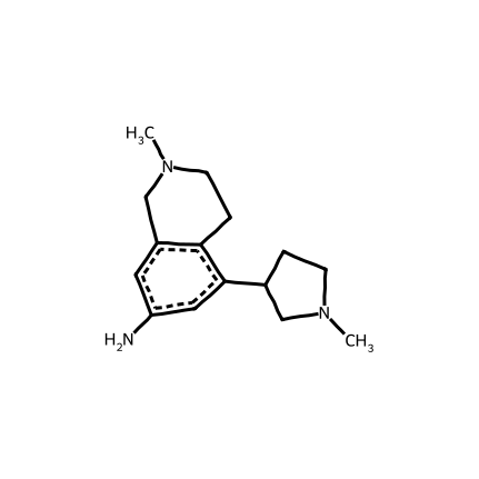 CN1CCc2c(cc(N)cc2C2CCN(C)C2)C1